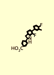 Cc1cc(-c2ccc3c(c2F)NC(c2ccc(C(=O)O)cc2)C3)ccc1F